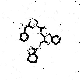 CC[C@H](C(=O)C[C@@H](CC(C)C)C(=O)N[C@@H](Cc1ccccc1)C(=O)COn1nnc2ccccc21)c1ccccc1